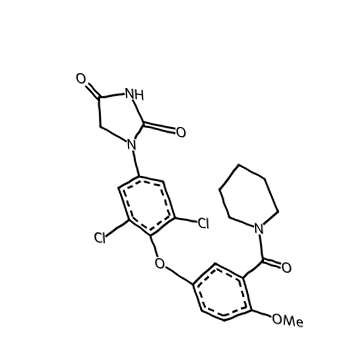 COc1ccc(Oc2c(Cl)cc(N3CC(=O)NC3=O)cc2Cl)cc1C(=O)N1CCCCC1